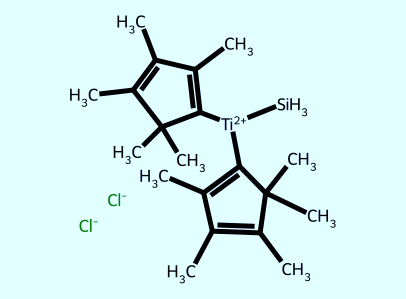 CC1=C(C)C(C)(C)[C]([Ti+2]([SiH3])[C]2=C(C)C(C)=C(C)C2(C)C)=C1C.[Cl-].[Cl-]